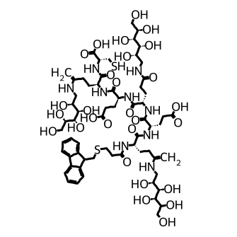 C=C(CC[C@H](NC(=O)[C@H](CCC(=O)O)NC(=O)[C@H](CCC(=O)NC[C@H](O)[C@@H](O)[C@H](O)[C@H](O)CO)NC(=O)[C@H](CCC(=O)O)NC(=O)[C@H](CCC(=C)NC[C@H](O)[C@@H](O)[C@H](O)C(O)CO)NC(=O)CCSCC1c2ccccc2-c2ccccc21)C(=O)N[C@@H](CS)C(=O)O)NC[C@H](O)[C@@H](O)[C@H](O)[C@H](O)CO